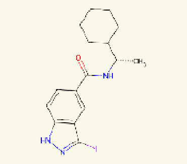 C[C@H](NC(=O)c1ccc2[nH]nc(I)c2c1)C1CCCCC1